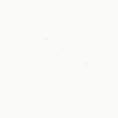 COC(=O)c1cc(Oc2ccc([N+](=O)[O-])c(C(=O)OC)c2)ccc1O